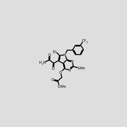 CCc1c(C(=O)C(N)=O)c2c(OCC(=O)OC)nc(SC)nc2n1Cc1cccc(C(F)(F)F)c1